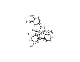 CN1CC(c2ccc(O)c(O)c2)C(C(=O)c2ccc(F)cc2F)C12C(=O)Nc1ccccc12